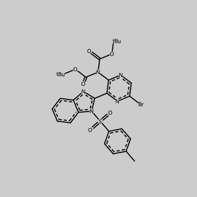 Cc1ccc(S(=O)(=O)n2c(-c3nc(Br)cnc3N(C(=O)OC(C)(C)C)C(=O)OC(C)(C)C)nc3ccccc32)cc1